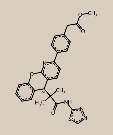 COC(=O)Cc1ccc(-c2ccc3c(n2)Oc2ccccc2[C@@H]3C(C)(C)C(=O)Nc2nncs2)cc1